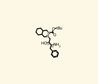 CC(C)(C)OC(=O)N1CC2CCCCC2CN1C[C@H](O)[C@@H](N)Cc1ccccc1